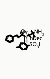 CCCCCCCCCCC(CCC)(NC(=O)C=Cc1ccccc1)C(C)(C)N.Cc1ccc(S(=O)(=O)O)cc1